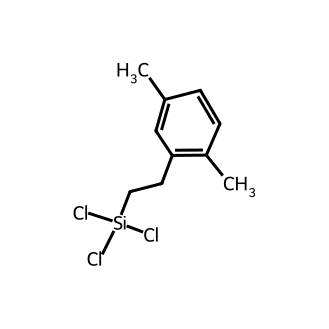 Cc1ccc(C)c(CC[Si](Cl)(Cl)Cl)c1